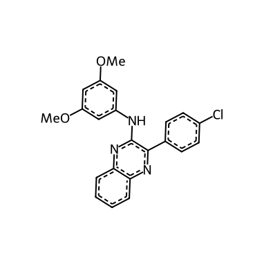 COc1cc(Nc2nc3ccccc3nc2-c2ccc(Cl)cc2)cc(OC)c1